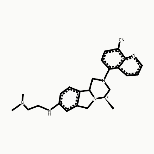 C[C@@H]1CN(c2ccc(C#N)c3ncccc23)CC2c3ccc(NCCN(C)C)cc3CN21